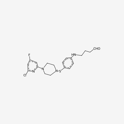 O=CCCCNc1ccc(SN2CCN(c3cc(F)cc(Cl)n3)CC2)cc1